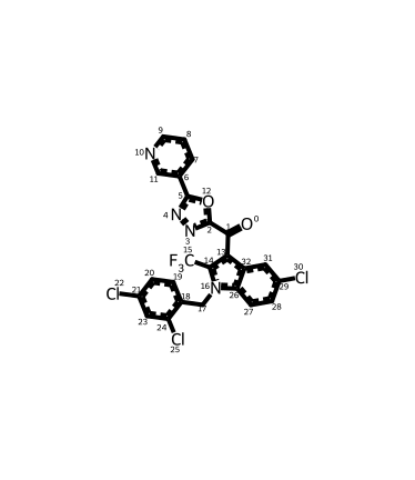 O=C(c1nnc(-c2cccnc2)o1)c1c(C(F)(F)F)n(Cc2ccc(Cl)cc2Cl)c2ccc(Cl)cc12